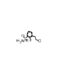 NS(=O)(=O)c1cccc(CCCl)c1F